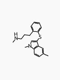 CNCCCc1ccccc1Sc1cn(C)c2ccc(C)cc12